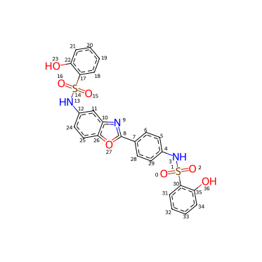 O=S(=O)(Nc1ccc(-c2nc3cc(NS(=O)(=O)c4ccccc4O)ccc3o2)cc1)c1ccccc1O